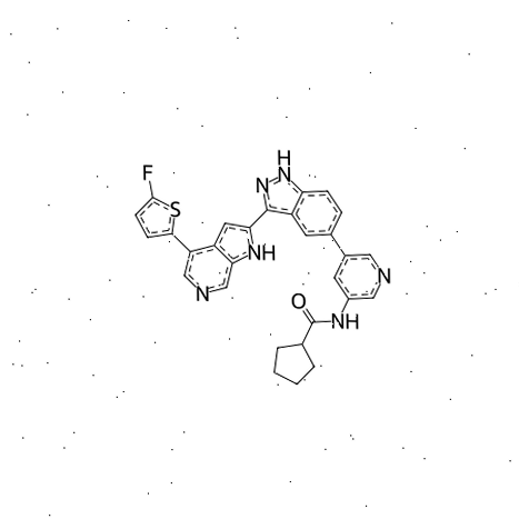 O=C(Nc1cncc(-c2ccc3[nH]nc(-c4cc5c(-c6ccc(F)s6)cncc5[nH]4)c3c2)c1)C1CCCC1